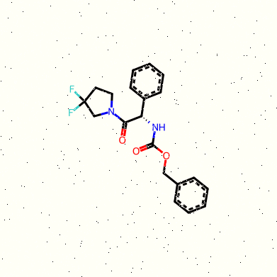 O=C(N[C@H](C(=O)N1CCC(F)(F)C1)c1ccccc1)OCc1ccccc1